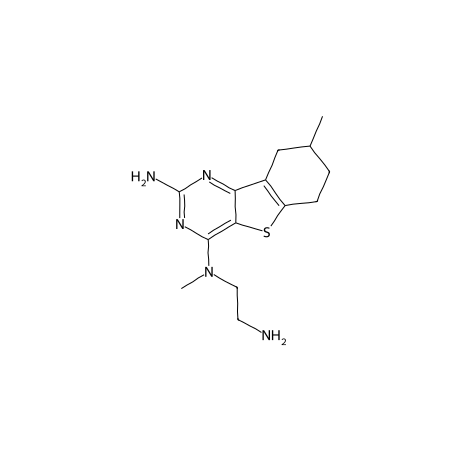 CC1CCc2sc3c(N(C)CCN)nc(N)nc3c2C1